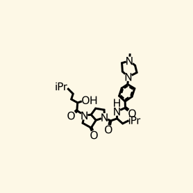 CC(C)CCC(O)C(=O)N1CC(=O)C2C1CCN2C(=O)C(CC(C)C)NC(=O)c1ccc(N2CCN(C)CC2)cc1